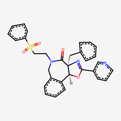 O=C1N(CCS(=O)(=O)c2ccccc2)Cc2ccccc2[C@@H]2OC(c3cccnc3)=N[C@]12Cc1ccccc1